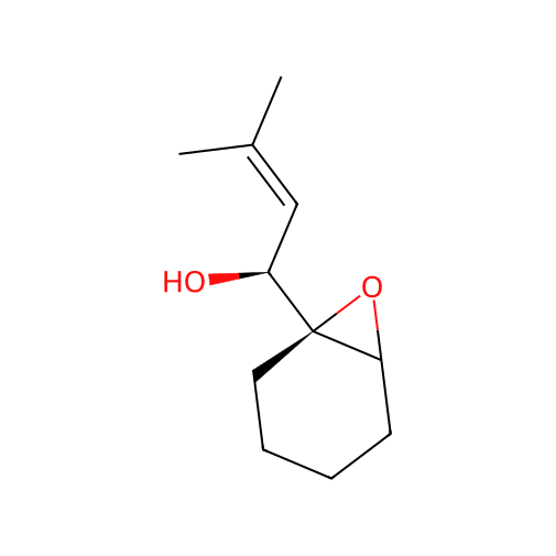 CC(C)=C[C@H](O)[C@@]12CCCCC1O2